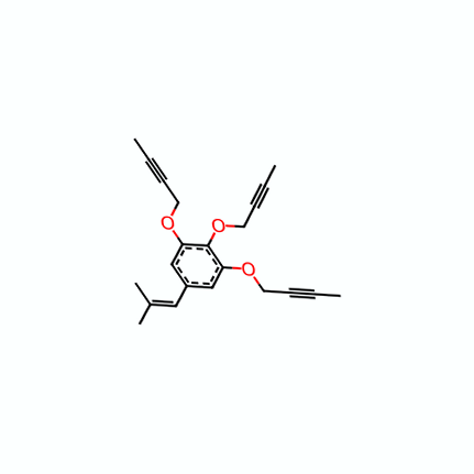 CC#CCOc1cc(C=C(C)C)cc(OCC#CC)c1OCC#CC